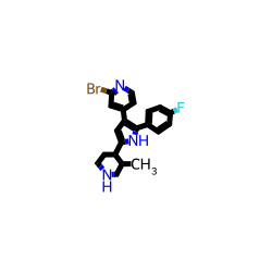 CC1CNCCC1c1cc(-c2ccnc(Br)c2)c(-c2ccc(F)cc2)[nH]1